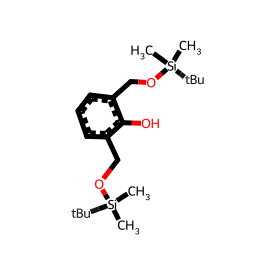 CC(C)(C)[Si](C)(C)OCc1cccc(CO[Si](C)(C)C(C)(C)C)c1O